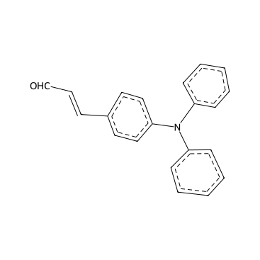 O=CC=Cc1ccc(N(c2ccccc2)c2ccccc2)cc1